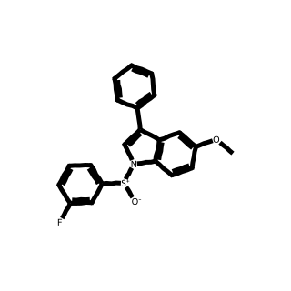 COc1ccc2c(c1)c(-c1ccccc1)cn2[S+]([O-])c1cccc(F)c1